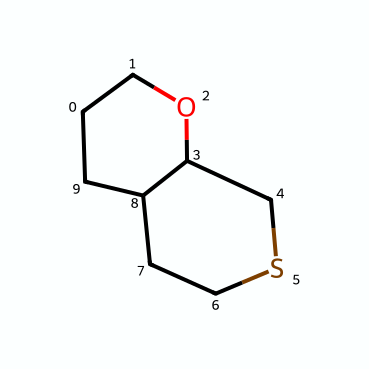 C1COC2CSCCC2C1